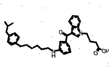 CC(C)Cc1ccc(CCCCCCNc2cccc(C(=O)c3cn(CCCC(=O)O)c4ccccc34)c2)cc1